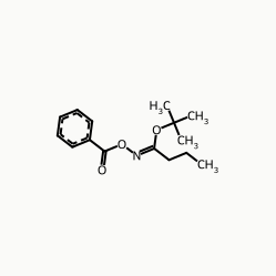 CCCC(=NOC(=O)c1ccccc1)OC(C)(C)C